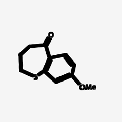 COc1ccc2c(c1)SCCCC2=O